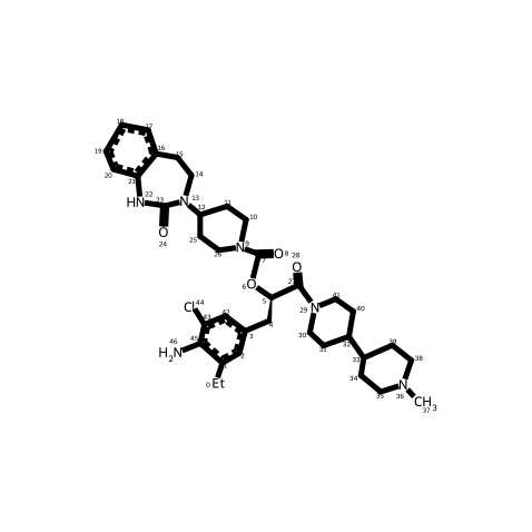 CCc1cc(C[C@@H](OC(=O)N2CCC(N3CCc4ccccc4NC3=O)CC2)C(=O)N2CCC(C3CCN(C)CC3)CC2)cc(Cl)c1N